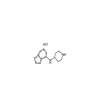 Cl.c1cc(NC2CCNCC2)c2ccsc2c1